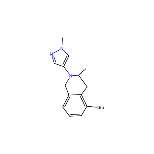 CC1Cc2c(cccc2C(C)(C)C)CN1c1cnn(C)c1